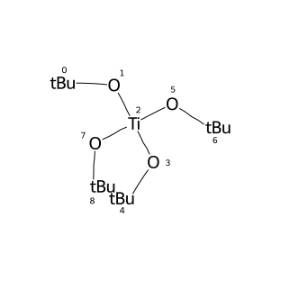 CC(C)(C)[O][Ti]([O]C(C)(C)C)([O]C(C)(C)C)[O]C(C)(C)C